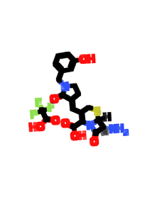 N[C@@H]1C(=O)N2C(C(=O)O)=C(C=C3CCN(Cc4cccc(O)c4)C3=O)CS[C@H]12.O=C(O)C(F)(F)F